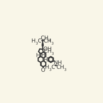 CC(C)Nc1ccc([C@H]2C[C@@]3(C)[C@@H](CC[C@@]3(O)C#CC(C)(C)C)[C@@H]3CCC4=CC(=O)CC[C@@H]4C23)cc1